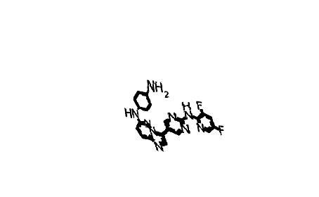 N[C@H]1CC[C@H](Nc2ccc3ncc(-c4cnc(Nc5ncc(F)cc5F)nc4)n3n2)CC1